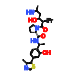 CC(=N)CC(O)[C@H](C(=O)N1CCC[C@H]1C(=O)N[C@@H](C)c1ccc(-c2scnc2C)cc1O)C(C)C